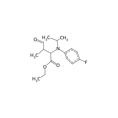 CCOC(=O)C(C(C)C=O)N(c1ccc(F)cc1)C(C)C